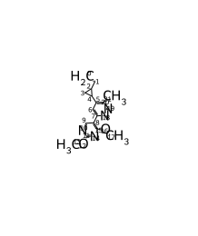 C=CC1CC1c1cc(-c2cnc(OC)nc2OC)nnc1C